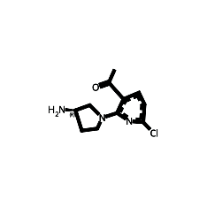 CC(=O)c1ccc(Cl)nc1N1CC[C@@H](N)C1